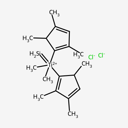 CC1=CC(C)[C]([Ti+2]([CH3])([CH3])(=[SiH2])[C]2=C(C)C=C(C)C2C)=C1C.[Cl-].[Cl-]